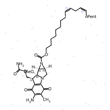 CCCCC/C=C\C/C=C\CCCCCCCCOC(=O)N1[C@H]2[C@@H]1CN1C3=C(C(=O)C(N)=C(C)C3=O)[C@@H](COC(N)=O)[C@@]21OC